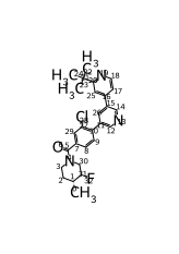 C[C@@H]1CCN(C(=O)c2ccc(-c3cncc(-c4ccnc(C(C)(C)C)c4)c3)c(Cl)c2)C[C@H]1F